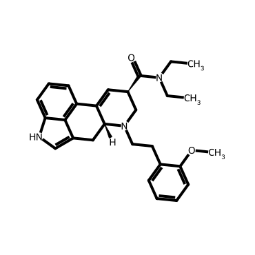 CCN(CC)C(=O)[C@@H]1C=C2c3cccc4[nH]cc(c34)C[C@H]2N(CCc2ccccc2OC)C1